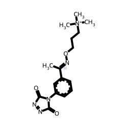 C/C(=N\OCCC[N+](C)(C)C)c1cccc(N2C(=O)N=NC2=O)c1